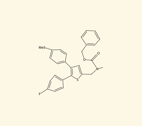 CSc1ccc(-c2cc(CN(C)C(=O)OCc3ccccc3)sc2-c2ccc(F)cc2)cc1